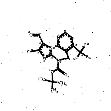 CC(C)(C)OC(=O)N(Cc1cnccc1C(F)(F)F)c1nc(Cl)c(C=O)s1